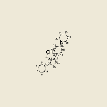 CCn1c(-c2ccccc2)ccc1-c1ccc(N2CCCCC2)cc1